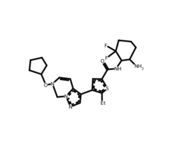 CCc1sc(C(=O)NC2C(N)CCCC2(F)F)cc1-c1cnn2c1C=CN(OC1CCCC1)C2